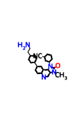 Cn1c(=O)n(-c2cccc(C#N)c2)c2c3cc(-c4ccc(CCN)cc4)ccc3ncc21